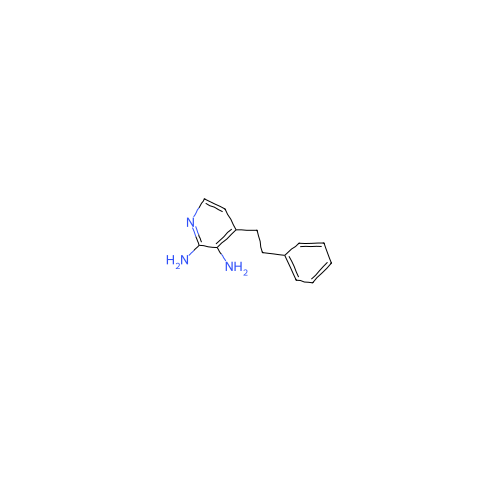 Nc1nccc(CCc2ccccc2)c1N